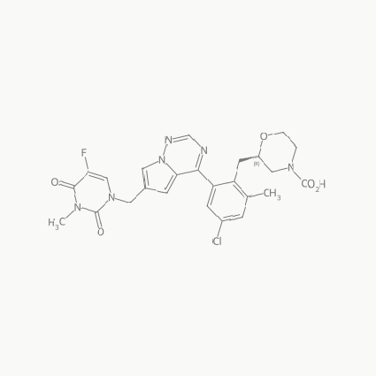 Cc1cc(Cl)cc(-c2ncnn3cc(Cn4cc(F)c(=O)n(C)c4=O)cc23)c1C[C@@H]1CN(C(=O)O)CCO1